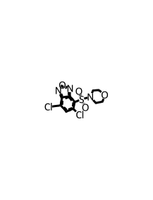 O=S(=O)(c1c(Cl)cc(Cl)c2nonc12)N1CCOCC1